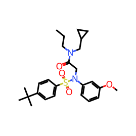 CCCN(CC1CC1)C(=O)CN(c1cccc(OC)c1)S(=O)(=O)c1ccc(C(C)(C)C)cc1